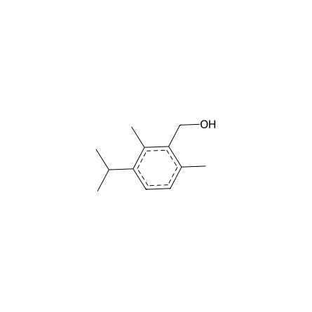 Cc1ccc(C(C)C)c(C)c1CO